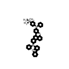 C[Si](C)(C)c1ccc(N(c2ccccc2)c2ccc3c(c2)Sc2cccc4c2c-3cc2ccc(N(c3ccccc3)c3cccc5c3oc3ccccc35)cc24)cc1